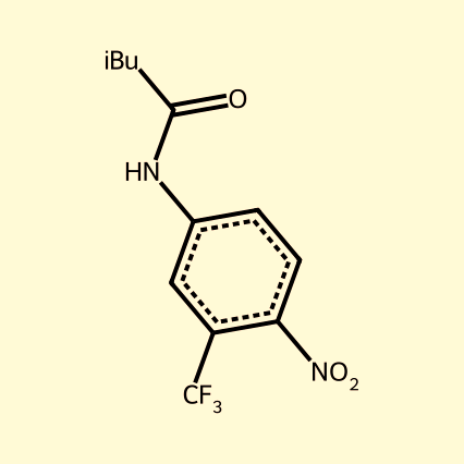 CCC(C)C(=O)Nc1ccc([N+](=O)[O-])c(C(F)(F)F)c1